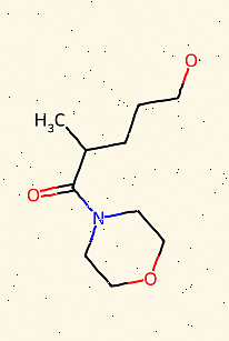 CC(CCC[O])C(=O)N1CCOCC1